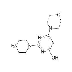 Oc1nc(N2CCNCC2)nc(N2CCOCC2)n1